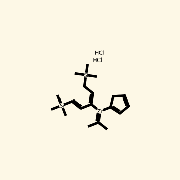 C[C](C)=[Zr]([C](C=C[Si](C)(C)C)=CC[Si](C)(C)C)[C]1=CC=CC1.Cl.Cl